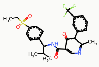 CCS(=O)(=O)c1ccc(C(NC(=O)C2=CN=C(C)C(c3cccc(C(F)(F)F)c3)C2=O)C(C)C)cc1